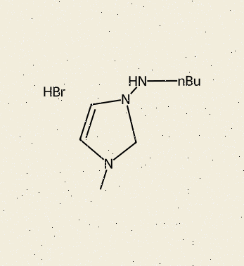 Br.CCCCNN1C=CN(C)C1